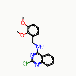 COc1cccc(CNc2nc(Cl)nc3ccccc23)c1OC